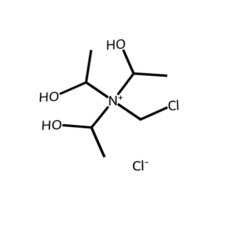 CC(O)[N+](CCl)(C(C)O)C(C)O.[Cl-]